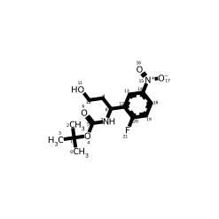 CC(C)(C)OC(=O)NC(CCO)c1cc([N+](=O)[O-])ccc1F